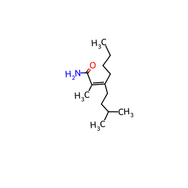 CCCCC(CCC(C)C)=C(C)C(N)=O